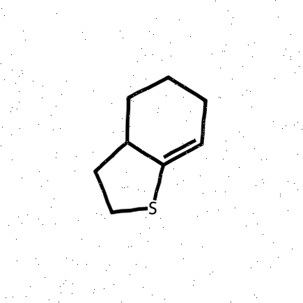 C1=C2SCCC2CCC1